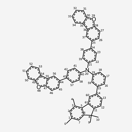 Cc1cc(C)c2c(c1)C(C)(C)c1ccc(-c3cccc(N(c4ccc(-c5ccc6oc7ccccc7c6c5)cc4)c4ccc(-c5ccc6oc7ccccc7c6c5)cc4)c3)cc1-2